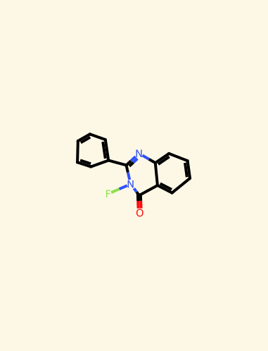 O=c1c2ccccc2nc(-c2ccccc2)n1F